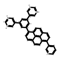 c1cncc(-c2ccc3ccc4c(-c5cc(-c6cncnc6)cc(-c6cncnc6)c5)ccc5ccc2c3c54)c1